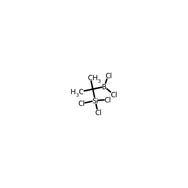 CC(C)(B(Cl)Cl)[Si](Cl)(Cl)Cl